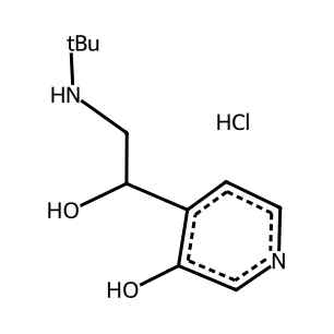 CC(C)(C)NCC(O)c1ccncc1O.Cl